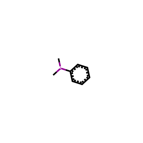 CI(C)c1ccccc1